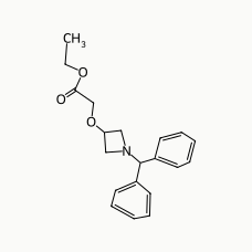 CCOC(=O)COC1CN(C(c2ccccc2)c2ccccc2)C1